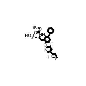 CC(C)(C)OC(=O)N[C@@H](CC(=O)O)Cc1cc(-c2ccccc2)ccc1Oc1ncc(-c2ccn[nH]2)cc1F